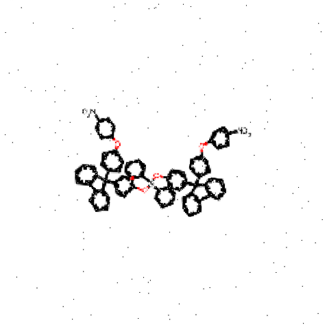 O=[N+]([O-])c1ccc(Oc2ccc(C3(c4ccc(O[Si](Oc5ccc(C6(c7ccc(Oc8ccc([N+](=O)[O-])cc8)cc7)c7ccccc7-c7ccccc76)cc5)(c5ccccc5)c5ccccc5)cc4)c4ccccc4-c4ccccc43)cc2)cc1